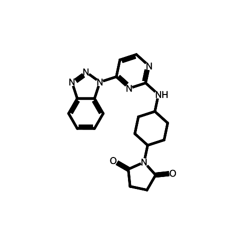 O=C1CCC(=O)N1C1CCC(Nc2nccc(-n3nnc4ccccc43)n2)CC1